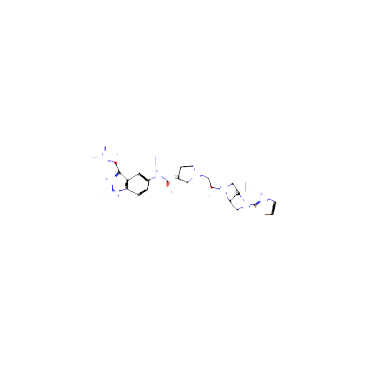 CNC(=O)c1n[nH]c2ccc(NC(=O)[C@@H]3CCN(CC(=O)N4C[C@@H]5C4CN5c4nccs4)C3)cc12